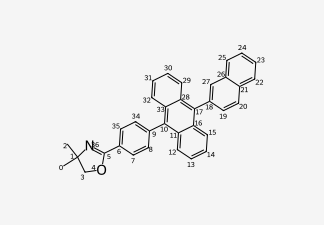 CC1(C)COC(c2ccc(-c3c4ccccc4c(-c4ccc5ccccc5c4)c4ccccc34)cc2)=N1